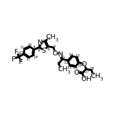 CC/C(=N\OCc1sc(-c2ccc(C(F)(F)F)cc2)nc1C)c1ccc(OC(CC)C(=O)O)cc1